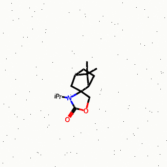 CC(C)N1C(=O)OCC12CC1CCC2C1(C)C